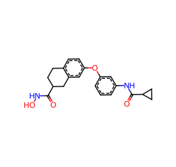 O=C(NO)C1CCc2ccc(Oc3cccc(NC(=O)C4CC4)c3)cc2C1